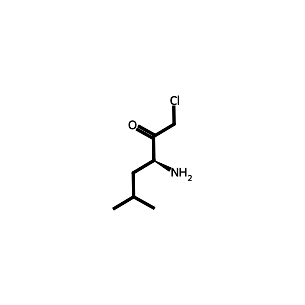 CC(C)C[C@H](N)C(=O)CCl